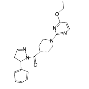 CCOc1ccnc(N2CCC(C(=O)N3N=CCC3c3ccccc3)CC2)n1